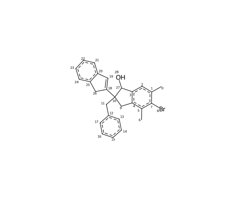 Cc1cc2c(c(C)c1Br)CC(Cc1ccccc1)(C1=Cc3ccccc3C1)C2O